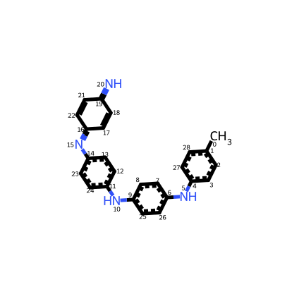 Cc1ccc(Nc2ccc(Nc3ccc(N=C4C=CC(=N)C=C4)cc3)cc2)cc1